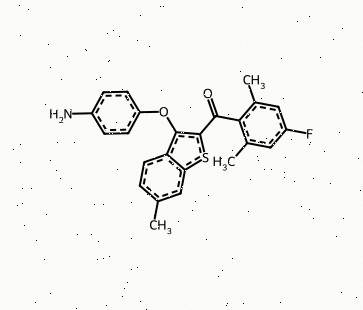 Cc1ccc2c(Oc3ccc(N)cc3)c(C(=O)c3c(C)cc(F)cc3C)sc2c1